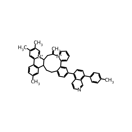 C=C1CC2C(CCc3ccc(-c4ccc(-c5ccc(C)cc5)c5cnccc45)cc3-c3cccc[n+]31)c1cc(C)ccc1-c1cc(C)c(C)c[n+]12